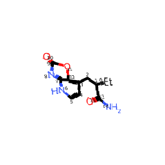 CCC(Cc1cc[nH]c2nc(=O)oc1-2)C(N)=O